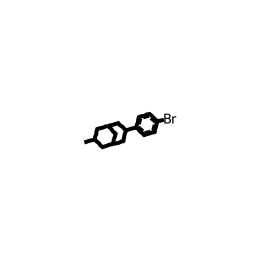 CC1CC2CC(C1)CC(c1ccc(Br)cc1)C2